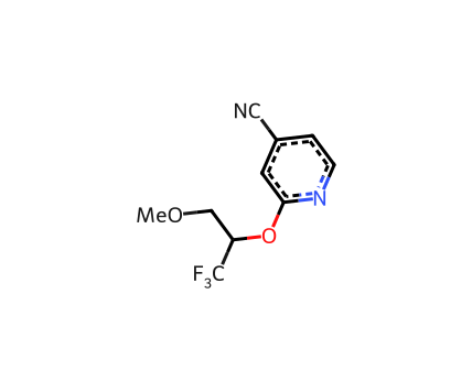 COCC(Oc1cc(C#N)ccn1)C(F)(F)F